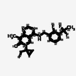 Cc1c(=O)n(C2(CF)CC2)cc2c(NCc3cccc(C(C)(F)F)c3F)ncnc12